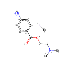 CCI.CCN(CC)CCOC(=O)c1ccc(N)cc1